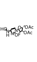 CC(=O)OC[C@H]1O[C@@H](n2ccc(NO)nc2=O)[C@H](F)[C@@H]1OC(C)=O